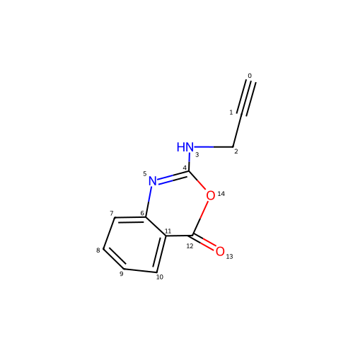 C#CCNc1nc2ccccc2c(=O)o1